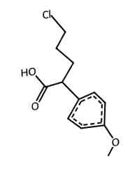 COc1ccc(C(CCCCl)C(=O)O)cc1